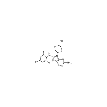 Nc1ncc2nc(NC3C(F)=CC(F)=CC3F)n([C@H]3CC[C@@H](O)CC3)c2n1